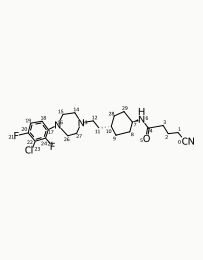 N#CCCCC(=O)N[C@H]1CC[C@H](CCN2CCN(c3ccc(F)c(Cl)c3F)CC2)CC1